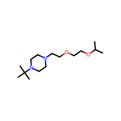 CC(C)OCCOCCN1CCN(C(C)(C)C)CC1